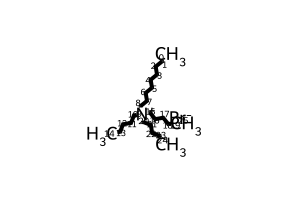 CCCCCCCCC[N+](CCCCC)(CCCCC)CCCCC.[Br-]